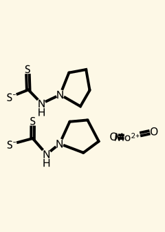 S=C([S-])NN1CCCC1.S=C([S-])NN1CCCC1.[O]=[Mo+2]=[O]